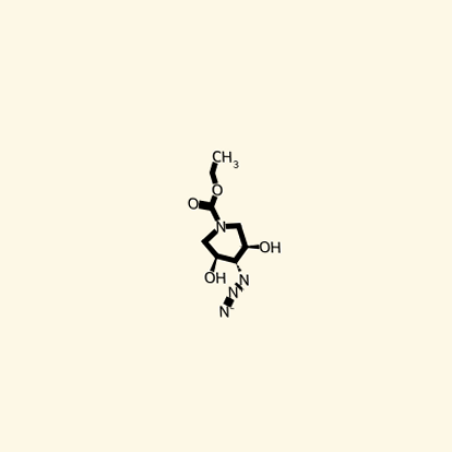 CCOC(=O)N1C[C@@H](O)[C@H](N=[N+]=[N-])[C@@H](O)C1